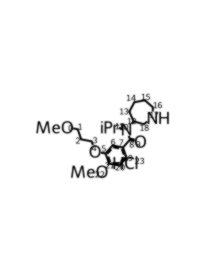 COCCCOc1cc(C(=O)N(C(C)C)C2CCCCNC2)ccc1OC.Cl